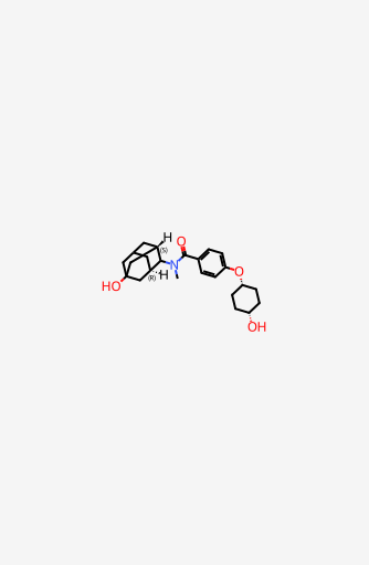 CN(C(=O)c1ccc(O[C@H]2CC[C@@H](O)CC2)cc1)C1[C@@H]2CC3C[C@H]1CC(O)(C3)C2